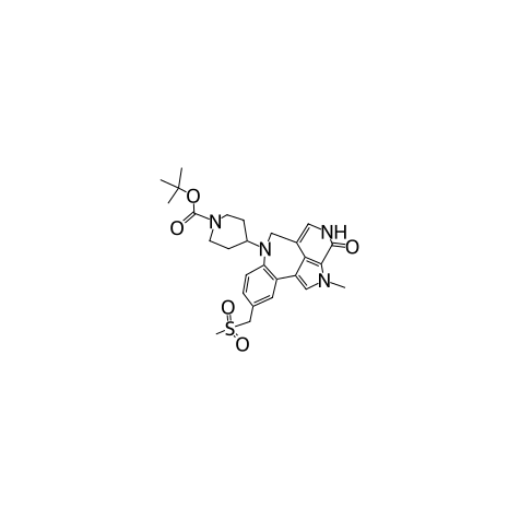 Cn1cc2c3c(c[nH]c(=O)c31)CN(C1CCN(C(=O)OC(C)(C)C)CC1)c1ccc(CS(C)(=O)=O)cc1-2